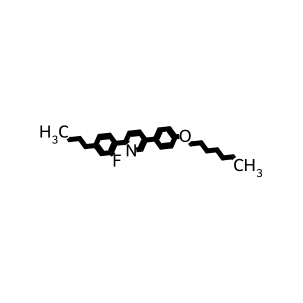 CCCCCCCOc1ccc(-c2ccc(-c3ccc(CCCC)cc3F)nc2)cc1